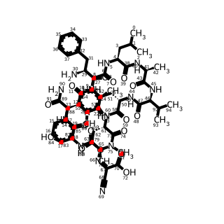 CC(C)C[C@H](NC(=O)CNC(=O)[C@H](Cc1ccccc1)N(C)C(=O)[C@H](C)NC(=O)[C@@H](N)Cc1ccccc1)C(=O)N[C@@H](C)C(=O)N[C@H](C(=O)N[C@@H](Cc1ccccc1)C(=O)N[C@@H](CC(=O)ON=C(C#N)C(=O)O)C(=O)N(C)[C@@H](C)C(=O)N[C@@H](CO)C(=O)NCC(N)=O)C(C)C